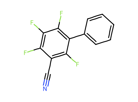 N#Cc1c(F)c(F)c(F)c(-c2ccccc2)c1F